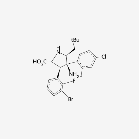 CC(C)(C)C[C@@H]1N[C@@H](C(=O)O)[C@H](c2cccc(Br)c2F)[C@@]1(N)c1ccc(Cl)cc1F